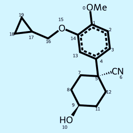 COc1ccc([C@]2(C#N)CC[C@H](O)CC2)cc1OCC1CC1